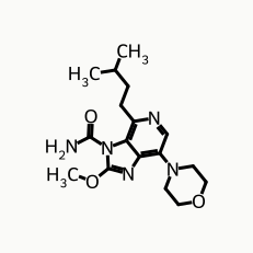 COc1nc2c(N3CCOCC3)cnc(CCC(C)C)c2n1C(N)=O